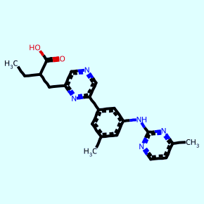 CCC(Cc1cncc(-c2cc(C)cc(Nc3nccc(C)n3)c2)n1)C(=O)O